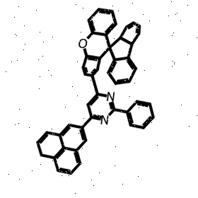 C1=CC2c3ccccc3C3(c4ccccc4Oc4ccc(-c5cc(-c6cc7c8c(cccc8c6)CC=C7)nc(-c6ccccc6)n5)cc43)C2C=C1